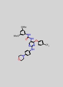 COc1cc(NC(=O)Nc2cnc(Nc3ccc(N4CCOCC4)cc3)nc2Oc2ccc(C(F)(F)F)cc2)cc(OC)c1